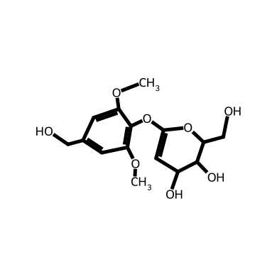 COc1cc(CO)cc(OC)c1OC1=CC(O)C(O)C(CO)O1